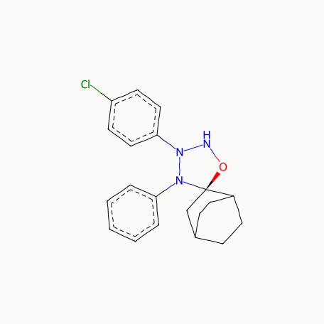 Clc1ccc(N2NO[C@@]3(CC4CCC3CC4)N2c2ccccc2)cc1